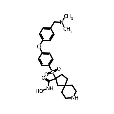 CN(C)Cc1ccc(Oc2ccc(S(=O)(=O)C3(C(=O)NO)CCC4(CCNCC4)C3)cc2)cc1